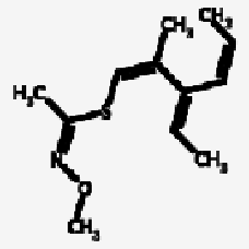 C\C=C/C(=C\C)C(/C)=C\S/C(C)=N\OC